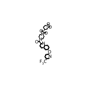 O=C(c1ccc2cc(Oc3ccc(C(F)(F)F)cn3)ccc2n1)N1CCN(S(=O)(=O)C2CCS(=O)(=O)C2)CC1